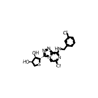 O[C@@H]1[C@H](O)CS[C@H]1c1nnc2c(NCc3cccc(Cl)c3)nc(Cl)cn12